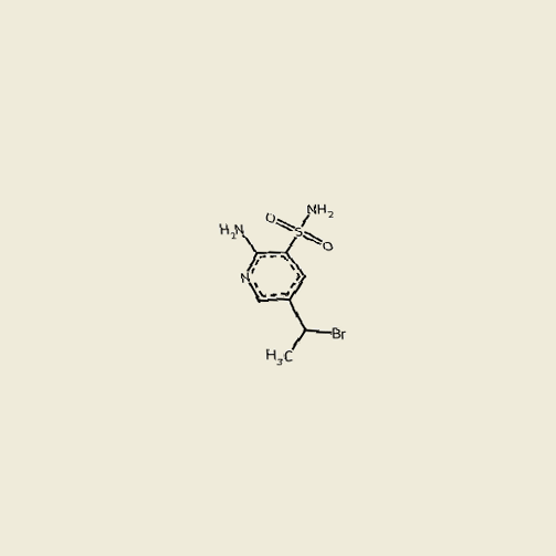 CC(Br)c1cnc(N)c(S(N)(=O)=O)c1